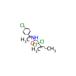 CCC[C@@H](C)C(Cl)(Cl)CC(=O)N[C@H](C)c1ccc(Cl)cc1